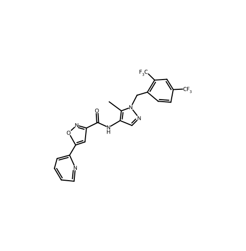 Cc1c(NC(=O)c2cc(-c3ccccn3)on2)cnn1Cc1ccc(C(F)(F)F)cc1C(F)(F)F